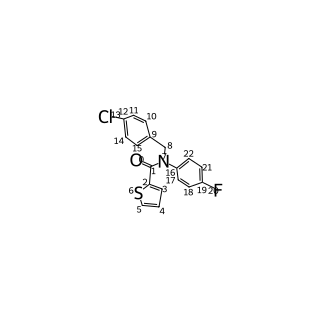 O=C(c1cccs1)N(Cc1ccc(Cl)cc1)c1ccc(F)cc1